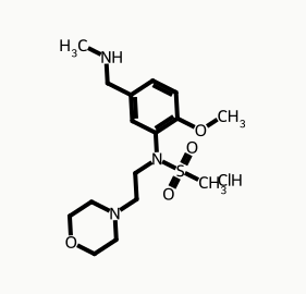 CNCc1ccc(OC)c(N(CCN2CCOCC2)S(C)(=O)=O)c1.Cl